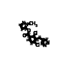 Cn1nccc1OC(=O)c1ccc(Cl)c(Cn2cnnn2)c1Cl